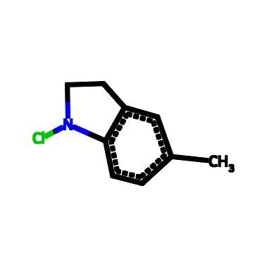 Cc1ccc2c(c1)CCN2Cl